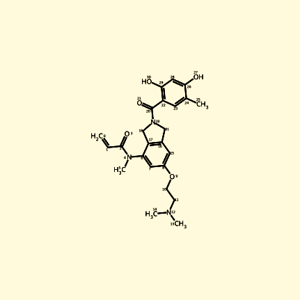 C=CC(=O)N(C)c1cc(OCCN(C)C)cc2c1CN(C(=O)c1cc(C)c(O)cc1O)C2